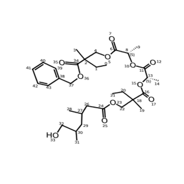 CCC(C)(COC(=O)[C@H](C)OC(=O)[C@H](C)OC(=O)C(C)(CC)COC(=O)CC(C)CC(C)CO)C(=O)OCc1ccccc1